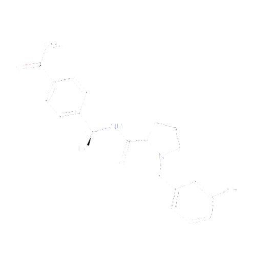 COC(=O)c1ccc([C@H](C)NC(=O)C2CCCN2Cc2cccc(C)c2)cc1